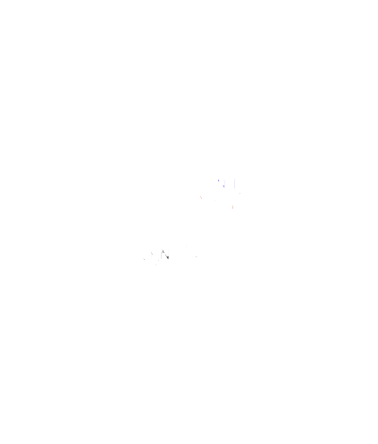 NS(=O)(=O)c1cccc([N+](=O)[O-])c1C1CCCC1